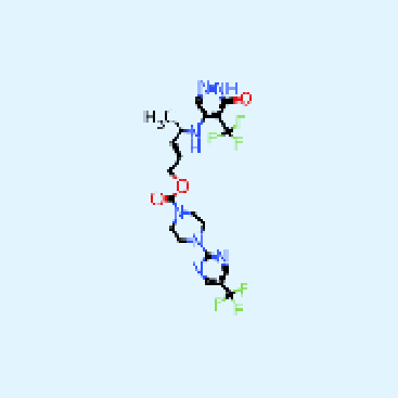 C[C@H](/C=C/COC(=O)N1CCN(c2ncc(C(F)(F)F)cn2)CC1)Nc1cn[nH]c(=O)c1C(F)(F)F